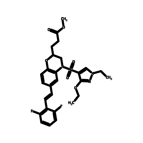 CCOc1nn(CC)cc1S(=O)(=O)N1CC(CCC(=O)OC)Oc2ccc(/C=C/c3c(F)cccc3F)cc21